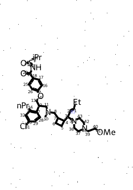 CC/C=C/C(C1CCC1CN(C)CC(COc1ccc(C(=O)N[S+]([O-])C(C)C)cc1)c1ccc(Cl)cc1CCC)N1CCN(CCOC)CC1